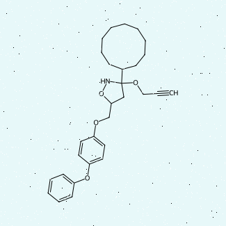 C#CCOC1(C2CCCCCCCCC2)CC(COc2ccc(Oc3ccccc3)cc2)ON1